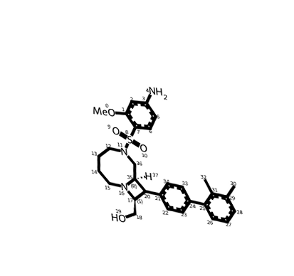 COc1cc(N)ccc1S(=O)(=O)N1CCCCN2[C@H](CO)C(c3ccc(-c4cccc(C)c4C)cc3)[C@@H]2C1